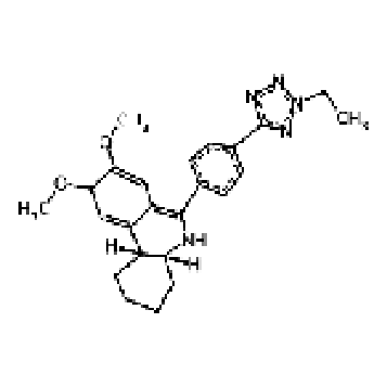 CCn1nnc(-c2ccc(C3=C4C=C(OC)C(OC)C=C4[C@H]4CCCC[C@H]4N3)cc2)n1